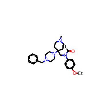 CCOc1ccc(N(CC2(N3CCN(Cc4ccccc4)CC3)CCN(C)CC2)C(=O)CC)cc1